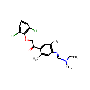 CCN(C)C=Nc1cc(C)c(C(=O)COc2c(Cl)cccc2Cl)cc1C